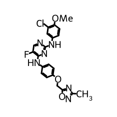 COc1ccc(Nc2ncc(F)c(Nc3ccc(OCc4nc(C)no4)cc3)n2)cc1Cl